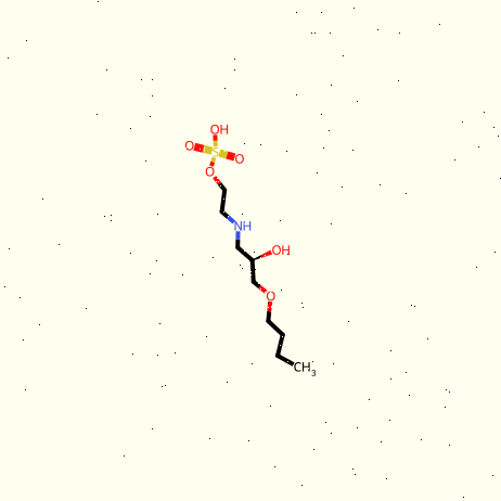 CCCCOC[C@H](O)CNCCOS(=O)(=O)O